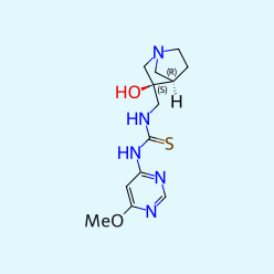 COc1cc(NC(=S)NC[C@]2(O)CN3CC[C@@H]2C3)ncn1